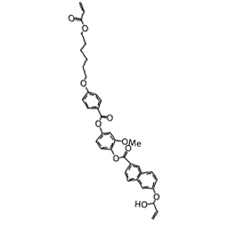 C=CC(=O)OCCCCCCOc1ccc(C(=O)Oc2ccc(OC(=O)c3ccc4cc(OC(O)C=C)ccc4c3)c(OC)c2)cc1